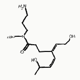 CCCCN(CCCN)C(=O)CCC(/C=C\C(C)O)=C/CO